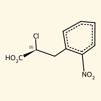 O=C(O)[C@@H](Cl)Cc1ccccc1[N+](=O)[O-]